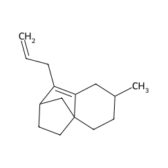 C=CCC1=C2CC(C)CCC23CCC1C3